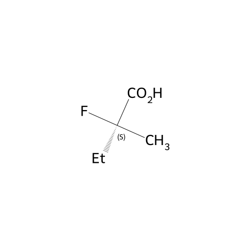 CC[C@](C)(F)C(=O)O